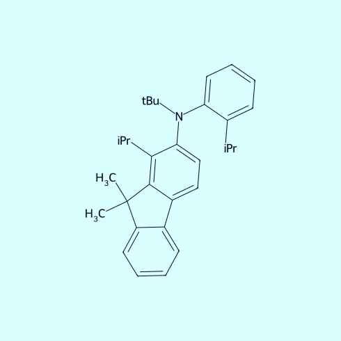 CC(C)c1ccccc1N(c1ccc2c(c1C(C)C)C(C)(C)c1ccccc1-2)C(C)(C)C